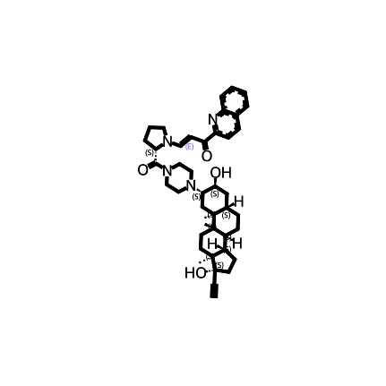 C#C[C@]1(O)CC[C@H]2[C@@H]3CC[C@H]4C[C@H](O)[C@@H](N5CCN(C(=O)[C@@H]6CCCN6/C=C/C(=O)c6ccc7ccccc7n6)CC5)C[C@]4(C)[C@@]3(C)CC[C@@]21C